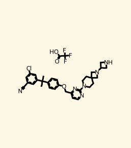 CC(C)(c1ccc(OCc2ccnc(N3CCC4(CC3)CN(C3CNC3)C4)n2)cc1)c1cc(Cl)cc(C#N)c1.O=C(O)C(F)(F)F